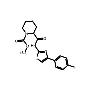 CC(C)(C)OC(=O)N1CCCCC1C(=O)Nc1nc(-c2ccc(F)cc2)cs1